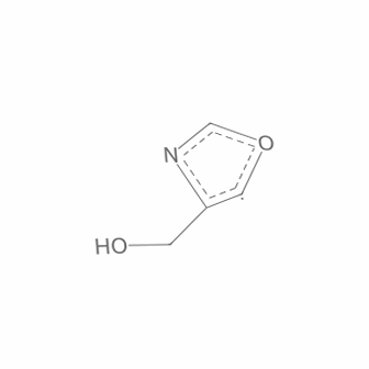 OCc1[c]ocn1